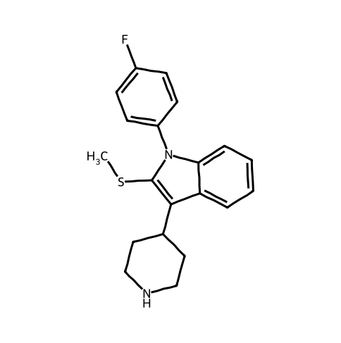 CSc1c(C2CCNCC2)c2ccccc2n1-c1ccc(F)cc1